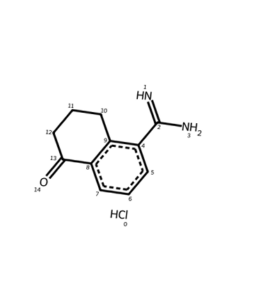 Cl.N=C(N)c1cccc2c1CCCC2=O